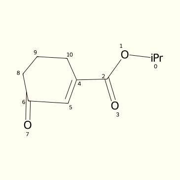 CC(C)OC(=O)C1=CC(=O)CCC1